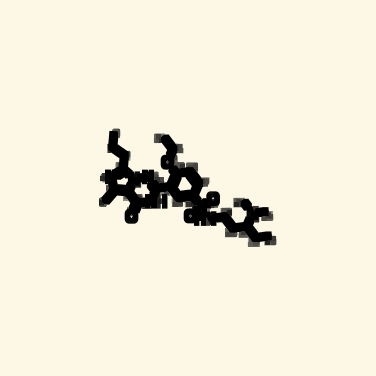 CCCc1nc(C)c2c(=O)[nH]c(-c3cc(S(=O)(=O)NCCC(CC)N(C)C)ccc3OCC)nn12